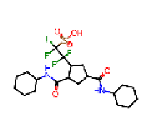 O=C(NC1CCCCC1)C1CC(C(=O)NC2CCCCC2)C(C(F)(F)C(F)(F)S(=O)(=O)O)C1